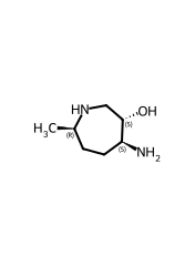 C[C@@H]1CC[C@H](N)[C@@H](O)CN1